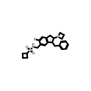 O=S(=O)(NCc1cc2c(cc1F)CC(N1CCC1)C2Cc1ccccc1)C1CCC1